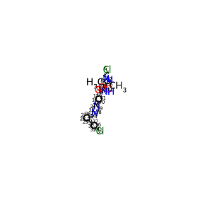 Cc1nn(CCCl)c(C)c1S(=O)(=O)NC(=O)c1ccc(N2CCN(Cc3ccccc3-c3ccc(Cl)cc3)CC2)cc1